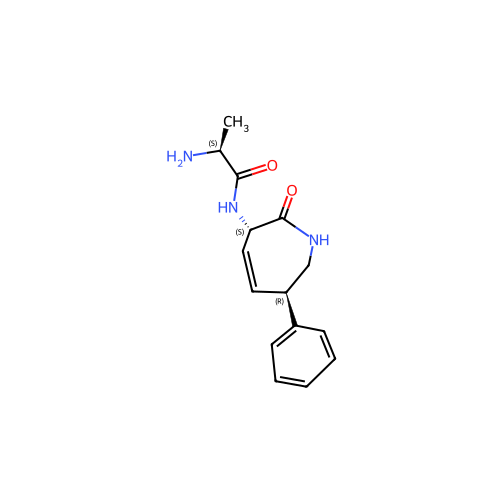 C[C@H](N)C(=O)N[C@H]1C=C[C@H](c2ccccc2)CNC1=O